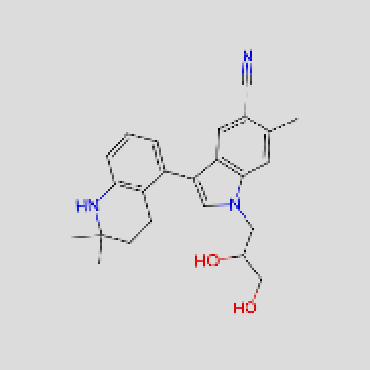 Cc1cc2c(cc1C#N)c(-c1cccc3c1CCC(C)(C)N3)cn2CC(O)CO